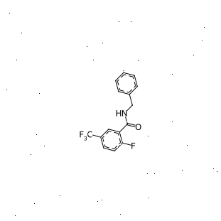 O=C(NCc1cc[c]cc1)c1cc(C(F)(F)F)ccc1F